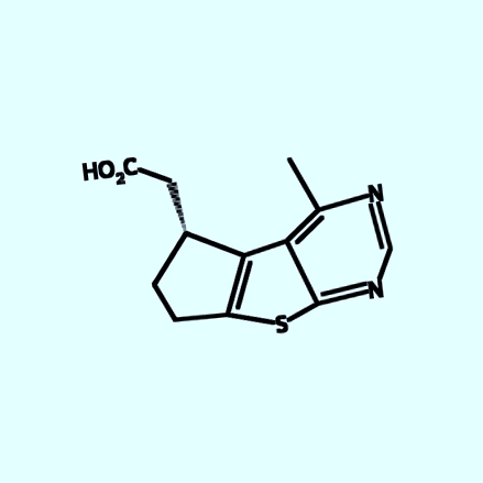 Cc1ncnc2sc3c(c12)[C@@H](CC(=O)O)CC3